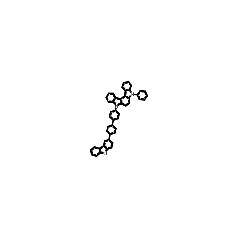 c1ccc(-n2c3ccccc3c3c4c5ccccc5n(-c5ccc(-c6ccc(-c7ccc8oc9ccccc9c8c7)cc6)cc5)c4ccc32)cc1